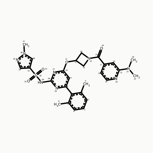 Cc1cccc(C)c1-c1cc(OC2CN(C(=O)c3ccnc(N(C)C)c3)C2)nc(NS(=O)(=O)c2cnn(C)c2)n1